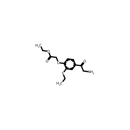 CCOC(=O)COc1ccc(C(=O)CN)cc1SCC